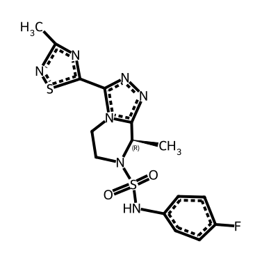 Cc1nsc(-c2nnc3n2CCN(S(=O)(=O)Nc2ccc(F)cc2)[C@@H]3C)n1